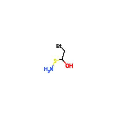 CCCC(O)SN